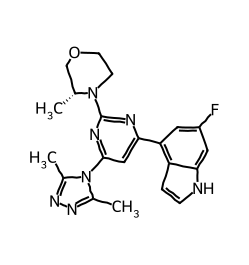 Cc1nnc(C)n1-c1cc(-c2cc(F)cc3[nH]ccc23)nc(N2CCOC[C@H]2C)n1